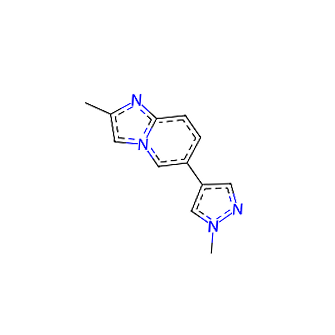 Cc1cn2cc(-c3cnn(C)c3)ccc2n1